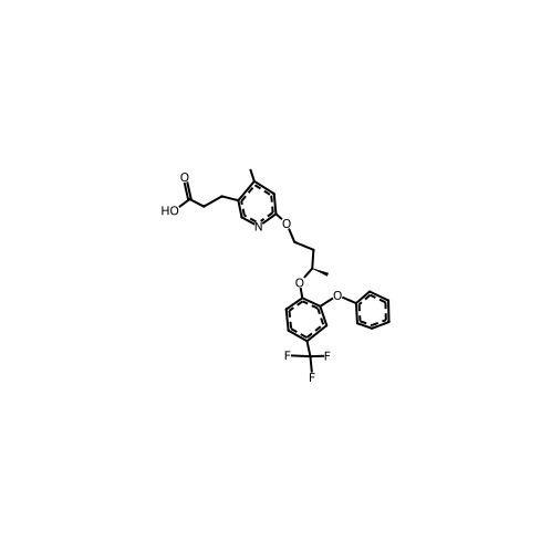 Cc1cc(OCC[C@@H](C)Oc2ccc(C(F)(F)F)cc2Oc2ccccc2)ncc1CCC(=O)O